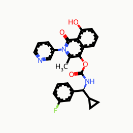 Cc1c(OC(=O)N[C@H](c2cccc(F)c2)C2CC2)c2cccc(O)c2c(=O)n1-c1cccnc1